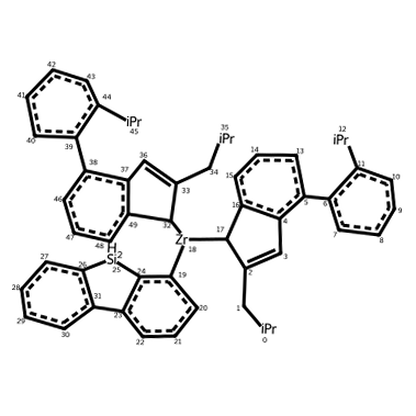 CC(C)CC1=Cc2c(-c3ccccc3C(C)C)cccc2[CH]1[Zr]([c]1cccc2c1[SiH2]c1ccccc1-2)[CH]1C(CC(C)C)=Cc2c(-c3ccccc3C(C)C)cccc21